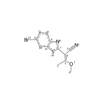 CO/C(C)=C(\C#N)c1nc2ccc(Br)cc2s1